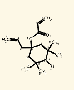 C=CCC1(OC(=O)C=C)CC(C)(C)N(Cl)C(C)(C)C1